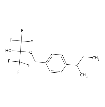 CCC(C)c1ccc(COC(O)(C(F)(F)F)C(F)(F)F)cc1